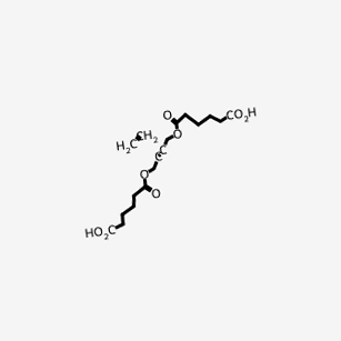 C=C.O=C(O)CCCCC(=O)OCCCCOC(=O)CCCCC(=O)O